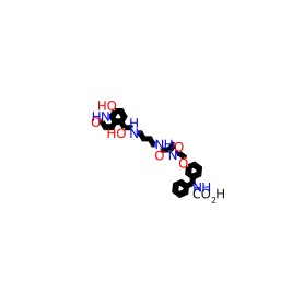 O=C(O)NC(c1ccccc1)c1cccc(OCc2nc(C(=O)NCCCCNCC(O)c3ccc(O)c4[nH]c(=O)ccc34)co2)c1